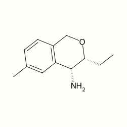 CC[C@H]1OCc2ccc(C)cc2[C@H]1N